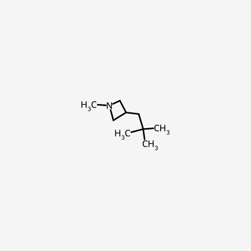 CN1CC(CC(C)(C)C)C1